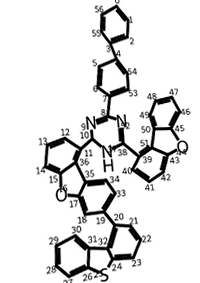 c1ccc(-c2ccc(C3=NC(c4cccc5oc6cc(-c7cccc8sc9ccccc9c78)ccc6c45)NC(c4cccc5oc6ccccc6c45)=N3)cc2)cc1